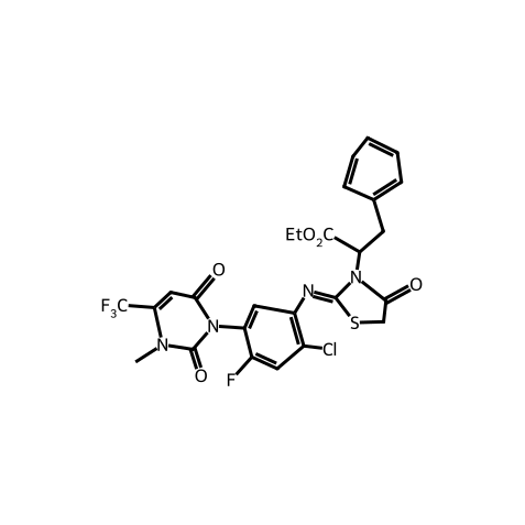 CCOC(=O)C(Cc1ccccc1)N1C(=O)CSC1=Nc1cc(-n2c(=O)cc(C(F)(F)F)n(C)c2=O)c(F)cc1Cl